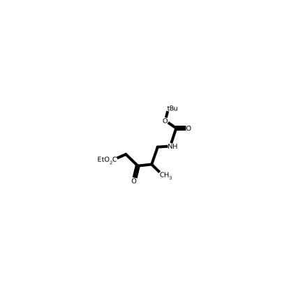 CCOC(=O)CC(=O)C(C)CNC(=O)OC(C)(C)C